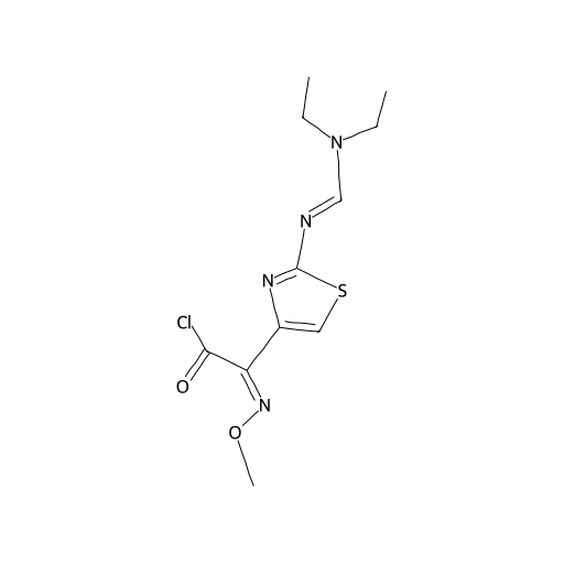 CCN(/C=N/c1nc(/C(=N/OC)C(=O)Cl)cs1)CC